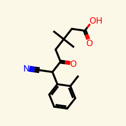 Cc1ccccc1C(C#N)C(=O)CC(C)(C)CC(=O)O